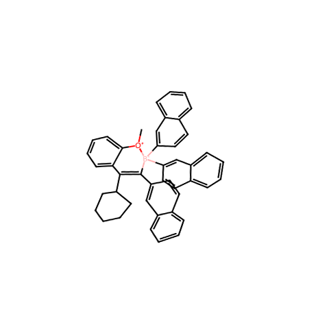 C[O+]1c2ccccc2C(C2CCCCC2)=C(c2ccc3ccccc3c2)[B-]1(c1ccc2ccccc2c1)c1ccc2ccccc2c1